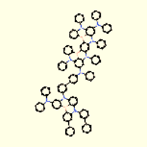 c1ccc(-c2cccc(N3c4cc(-c5ccccc5)ccc4B4c5ccc(N(c6ccccc6)c6ccccc6)cc5N(c5cccc(-c6ccc(N(c7ccccc7)c7cc8c9c(c7)N(c7ccccc7)c7cc%10c(cc7B9c7ccccc7N8c7ccccc7)B7c8ccccc8N(c8ccccc8)c8cc(N(c9ccccc9)c9ccccc9)cc(c87)N%10c7ccccc7)cc6)c5)c5cccc3c54)c2)cc1